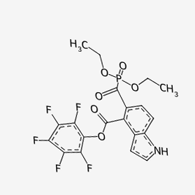 CCOP(=O)(OCC)C(=O)c1ccc2[nH]ccc2c1C(=O)Oc1c(F)c(F)c(F)c(F)c1F